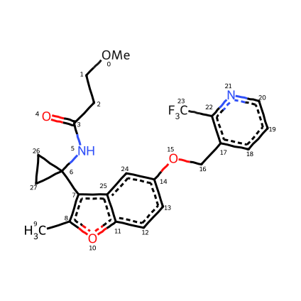 COCCC(=O)NC1(c2c(C)oc3ccc(OCc4cccnc4C(F)(F)F)cc23)CC1